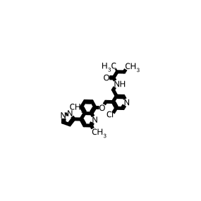 CC[C@H](C)C(=O)NCc1cncc(Cl)c1COc1cccc2c(-c3ccnn3C)cc(C)nc12